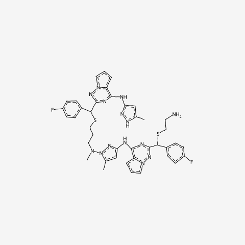 Cc1cc(Nc2nc(C(SCCCN(C)n3nc(Nc4nc(C(SCCN)c5ccc(F)cc5)nn5cccc45)cc3C)c3ccc(F)cc3)nn3cccc23)n[nH]1